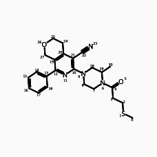 CSCCC(=O)N1CCN(c2nc(-c3ccccc3)c3c(c2C#N)CCOC3)CC1C